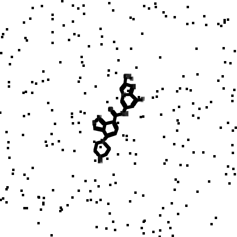 Cc1cn2cc(NC(=O)c3ccc(N4CCNCC4)c4csnc34)cc(F)c2n1